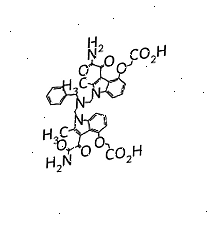 Cc1c(C(=O)C(N)=O)c2c(OCC(=O)O)cccc2n1CN(Cc1ccccc1)Cn1c(C)c(C(=O)C(N)=O)c2c(OCC(=O)O)cccc21